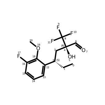 CC[C@@H](C[C@@](O)(C=O)C(F)(F)F)c1cccc(F)c1OC